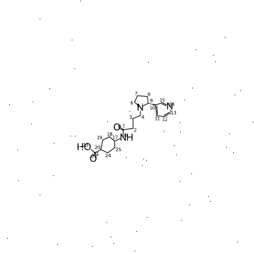 O=C(CCCN1CCC[C@H]1c1cccnc1)NC1CCC(C(=O)O)CC1